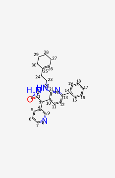 NC(=O)C(c1cccnc1)c1ccc(-c2ccccc2)nc1NCCC1=CCCCC1